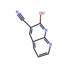 N#Cc1cc2cccnc2nc1O